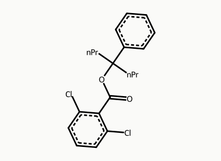 CCCC(CCC)(OC(=O)c1c(Cl)cccc1Cl)c1ccccc1